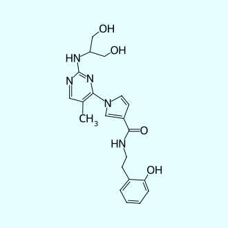 Cc1cnc(NC(CO)CO)nc1-n1ccc(C(=O)NCCc2ccccc2O)c1